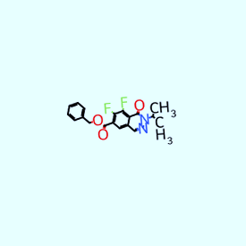 CC(C)n1ncc2cc(C(=O)OCc3ccccc3)c(F)c(F)c2c1=O